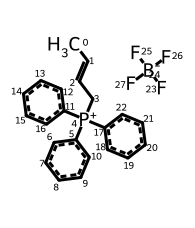 C/C=C/C[P+](c1ccccc1)(c1ccccc1)c1ccccc1.F[B-](F)(F)F